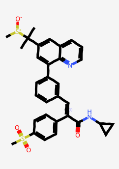 C[S+]([O-])C(C)(C)c1cc(-c2cccc(/C=C(/C(=O)NC3CC3)c3ccc(S(C)(=O)=O)cc3)c2)c2ncccc2c1